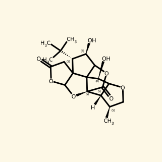 C[C@@H]1COC2[C@H]1[C@@]13OC4OC(=O)CC45[C@H](C(C)(C)C)[C@@H](O)C(OC1=O)C53[C@H]2O